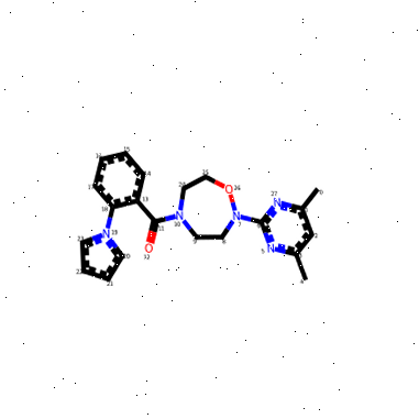 Cc1cc(C)nc(N2CCN(C(=O)c3ccccc3-n3cccc3)CCO2)n1